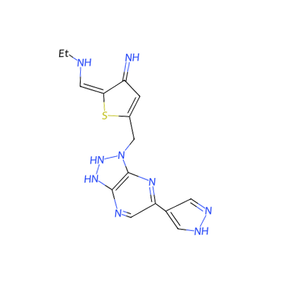 CCN/C=C1/SC(CN2NNc3ncc(-c4cn[nH]c4)nc32)=CC1=N